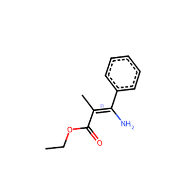 CCOC(=O)/C(C)=C(\N)c1ccccc1